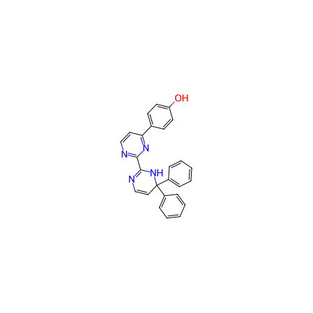 Oc1ccc(-c2ccnc(C3=NC=CC(c4ccccc4)(c4ccccc4)N3)n2)cc1